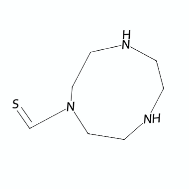 S=CN1CCNCCNCC1